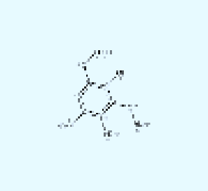 CCCCCCCCCCc1cc(OC(=O)O)c(O)c(OCCCCCCCCC)c1CCCCCCCCCC